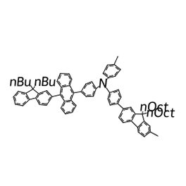 CCCCCCCCC1(CCCCCCCC)c2cc(C)ccc2-c2ccc(-c3ccc(N(c4ccc(C)cc4)c4ccc(-c5c6ccccc6c(-c6ccc7c(c6)C(CCCC)(CCCC)c6ccccc6-7)c6ccccc56)cc4)cc3)cc21